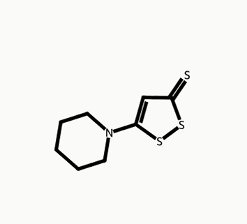 S=c1cc(N2CCCCC2)ss1